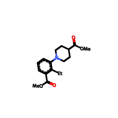 CCc1c(C(=O)OC)cccc1N1CCC(C(=O)OC)CC1